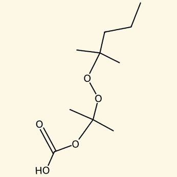 CCCC(C)(C)OOC(C)(C)OC(=O)O